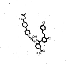 C=C(C)OC(=O)N1CCC(C2CCN(C[C@H](O)Cn3nc(-c4ccc(Cl)c(CCc5ccc(Cl)cc5)c4)c4c3CCN(C(N)=O)C4)CC2)CC1